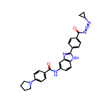 O=C(N=[N+]=NC1CC1)c1ccc(-c2nc3cc(NC(=O)c4ccc(N5CCCC5)cc4)ccc3[nH]2)cc1